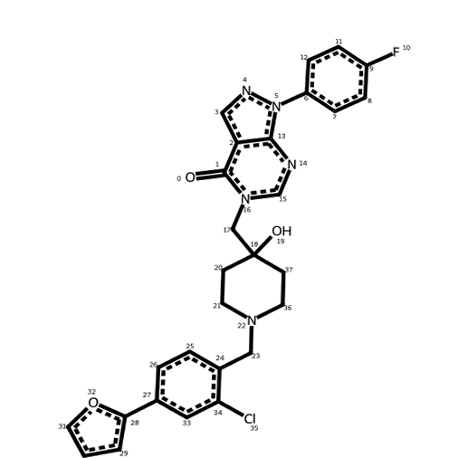 O=c1c2cnn(-c3ccc(F)cc3)c2ncn1CC1(O)CCN(Cc2ccc(-c3ccco3)cc2Cl)CC1